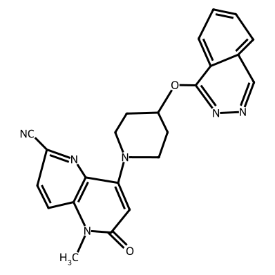 Cn1c(=O)cc(N2CCC(Oc3nncc4ccccc34)CC2)c2nc(C#N)ccc21